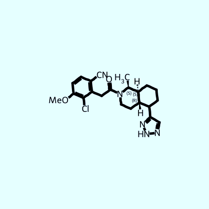 COc1ccc(C#N)c(CC(=O)N2CC[C@H]3C(c4cn[nH]n4)CCC[C@@H]3[C@@H]2C)c1Cl